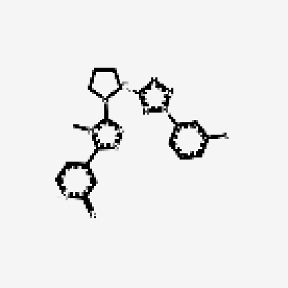 Cn1c(-c2cc[nH]c(=O)c2)nnc1N1CCC[C@@H]1c1nnn(-c2cccc(Cl)c2)n1